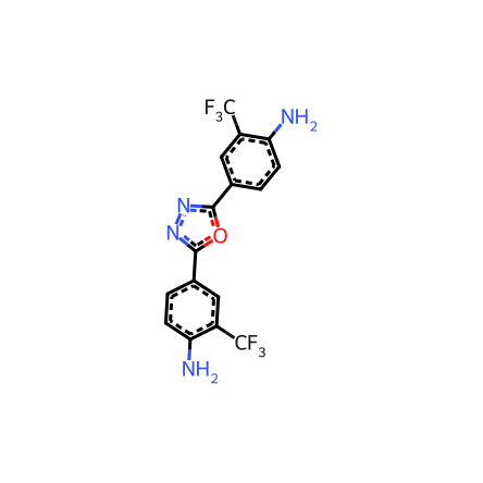 Nc1ccc(-c2nnc(-c3ccc(N)c(C(F)(F)F)c3)o2)cc1C(F)(F)F